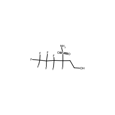 NS(=O)(=O)C(F)(CCO)C(F)(F)C(F)(F)C(F)(F)F